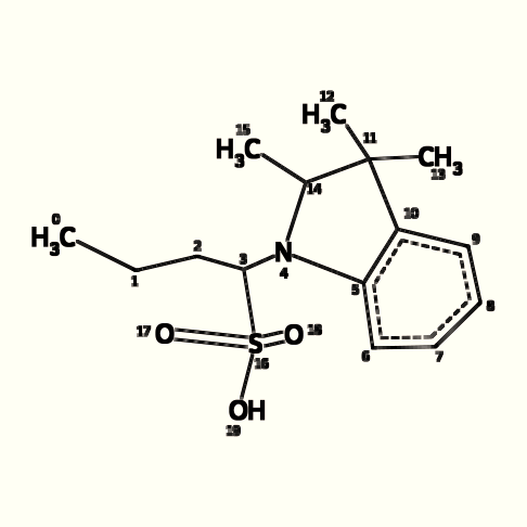 CCCC(N1c2ccccc2C(C)(C)C1C)S(=O)(=O)O